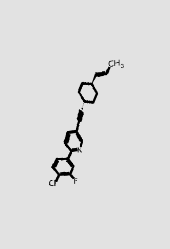 C/C=C/[C@H]1CC[C@H](C#Cc2ccc(-c3ccc(Cl)c(F)c3)nc2)CC1